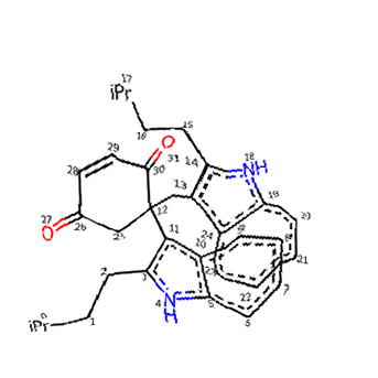 CC(C)CCc1[nH]c2ccccc2c1C1(c2c(CCC(C)C)[nH]c3ccccc23)CC(=O)C=CC1=O